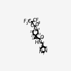 O=C(NCc1cncnc1)C1CC12CCN(C(=O)OC(C(F)(F)F)C(F)(F)F)CC2